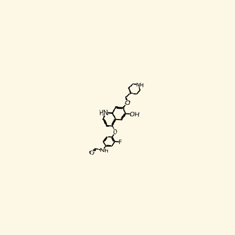 O=CNc1ccc(OC2=C3C=C(O)C(OCC4CCNCC4)=CC3NC=C2)c(F)c1